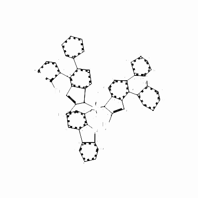 CCCCC1=Cc2c(ccc(-c3ccccc3)c2-c2ccccc2CC)[CH]1[Zr]([Cl])([Cl])([c]1cccc2c1[SiH2]c1ccccc1-2)[CH]1C(CCCC)=Cc2c1ccc(-c1ccccc1)c2-c1ccccc1CC